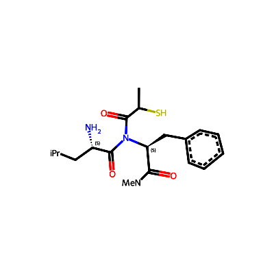 CNC(=O)[C@H](Cc1ccccc1)N(C(=O)C(C)S)C(=O)[C@@H](N)CC(C)C